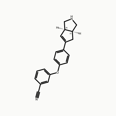 N#Cc1cccc(Oc2ccc(C3=C[C@H]4CNC[C@H]4C3)cc2)c1